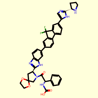 O=C(O)N[C@@H](C(=O)N1CC2(C[C@H]1c1nc3ccc(-c4ccc5c(c4)C(F)(F)c4cc(-c6cnc([C@@H]7CCCN7)[nH]6)ccc4-5)cc3[nH]1)OCCO2)c1ccccc1